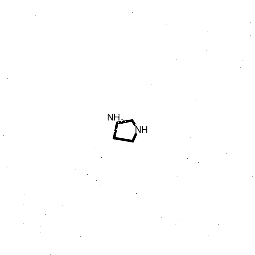 C1CCNC1.N